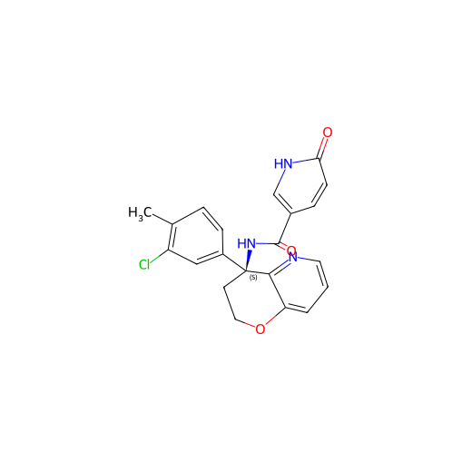 Cc1ccc([C@@]2(NC(=O)c3ccc(=O)[nH]c3)CCOc3cccnc32)cc1Cl